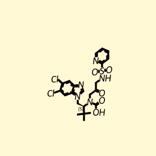 CC(C)(C)[C@@H](Cn1cnc2cc(Cl)c(Cl)cc21)N(CC(=O)CNS(=O)(=O)c1ccccn1)C(=O)O